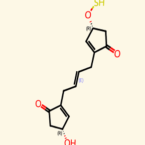 O=C1C[C@@H](O)C=C1C/C=C/CC1=C[C@H](OS)CC1=O